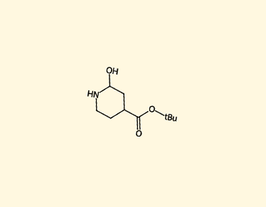 CC(C)(C)OC(=O)C1CCNC(O)C1